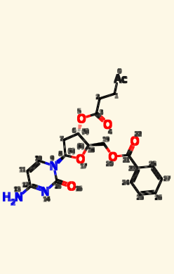 CC(=O)CCC(=O)O[C@H]1C[C@H](n2ccc(N)nc2=O)O[C@@H]1COC(=O)c1ccccc1